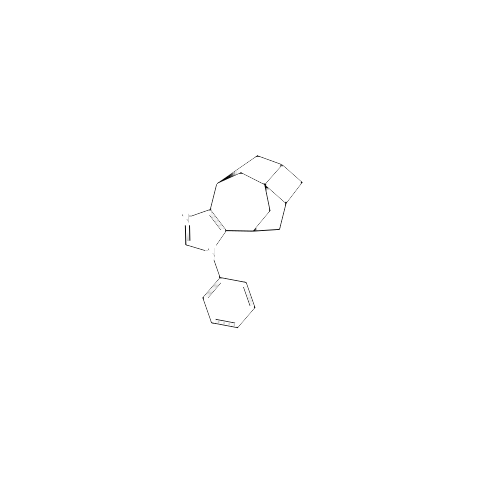 c1ccc(-n2cnc3c2C2CC4CC5CC3CC54C2)cc1